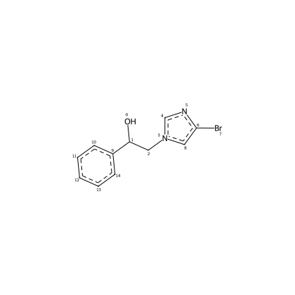 OC(Cn1cnc(Br)c1)c1ccccc1